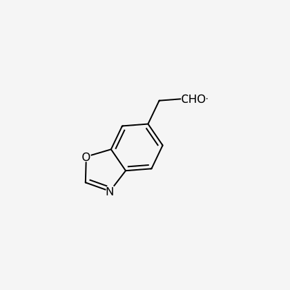 O=[C]Cc1ccc2ncoc2c1